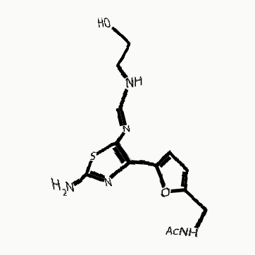 CC(=O)NCc1ccc(-c2nc(N)sc2N=CNCCO)o1